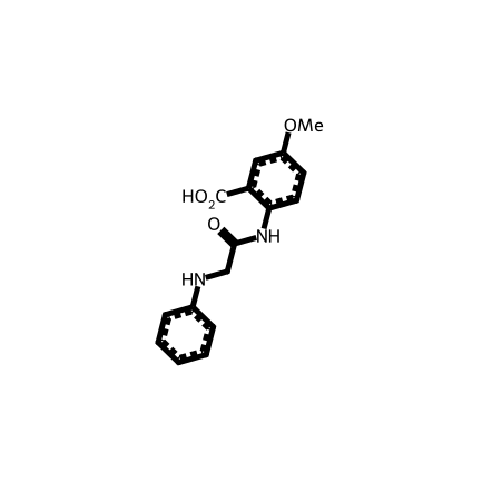 COc1ccc(NC(=O)CNc2ccccc2)c(C(=O)O)c1